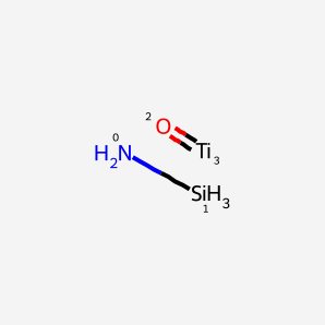 N[SiH3].[O]=[Ti]